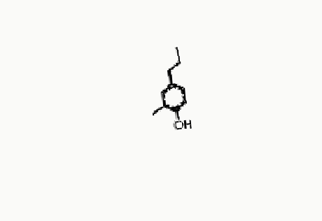 CCCc1ccc(O)c(C)c1